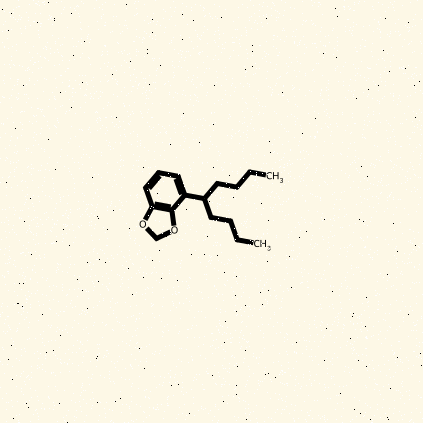 CCCCC(CCCC)c1cccc2c1OCO2